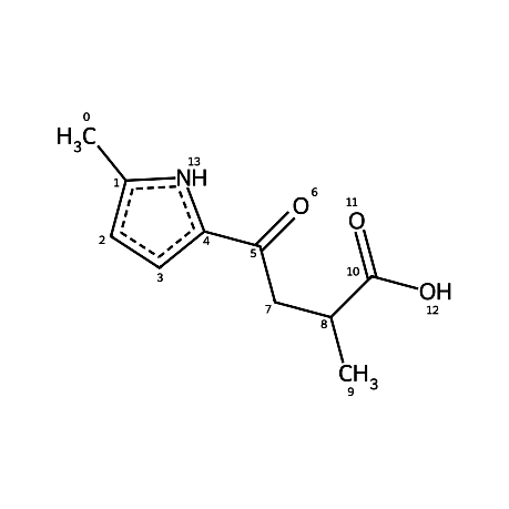 Cc1ccc(C(=O)CC(C)C(=O)O)[nH]1